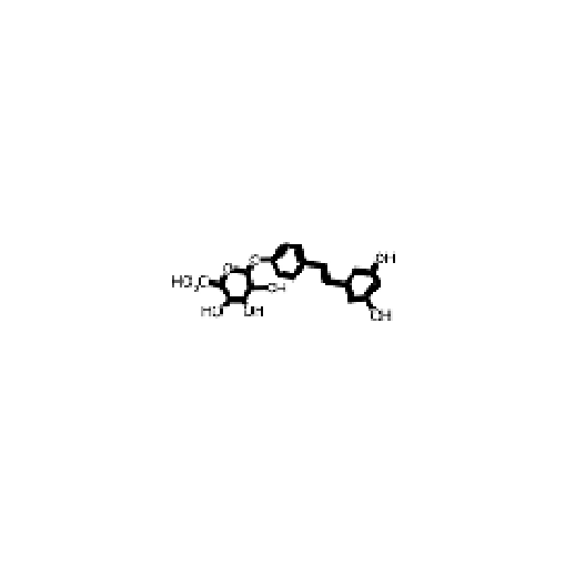 O=C(O)C1OC(Oc2ccc(C=Cc3cc(O)cc(O)c3)cc2)C(O)C(O)C1O